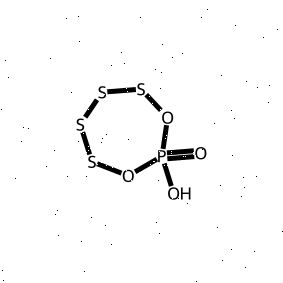 O=P1(O)OSSSSO1